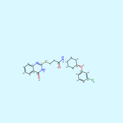 O=C(CCSc1nc2ccccc2c(=O)[nH]1)N[C@H]1CC[C@H](Oc2cccc(Cl)c2)CC1